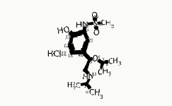 CC(C)NCC(OC(C)C)c1ccc(O)c(NS(C)(=O)=O)c1.Cl